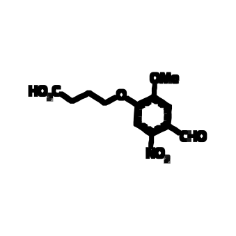 COc1cc(C=O)c([N+](=O)[O-])cc1OCCCC(=O)O